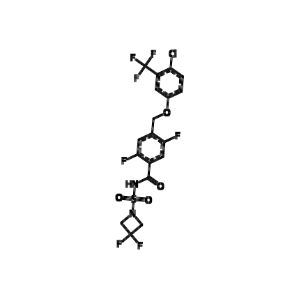 O=C(NS(=O)(=O)N1CC(F)(F)C1)c1cc(F)c(COc2ccc(Cl)c(C(F)(F)F)c2)cc1F